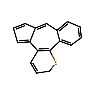 C1=Cc2c3cccc-3cc3ccccc3c2SC1